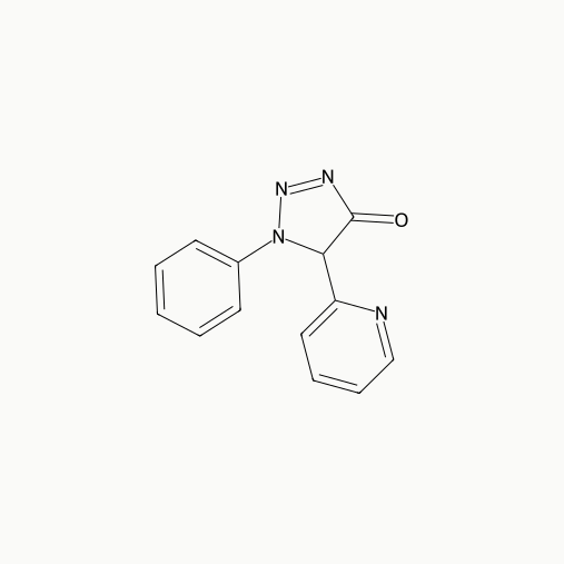 O=C1N=NN(c2ccccc2)C1c1ccccn1